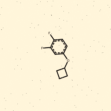 Fc1ccc(OC2C[CH]C2)cc1F